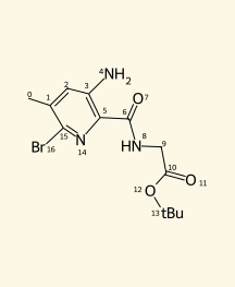 Cc1cc(N)c(C(=O)NCC(=O)OC(C)(C)C)nc1Br